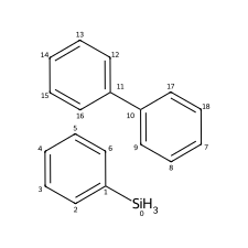 [SiH3]c1ccccc1.c1ccc(-c2ccccc2)cc1